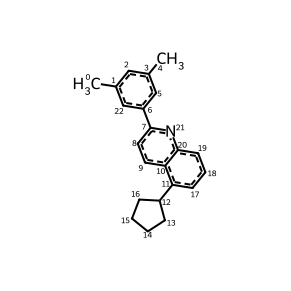 Cc1cc(C)cc(-c2ccc3c(C4CCCC4)cccc3n2)c1